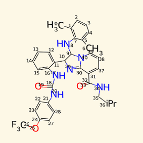 Cc1cccc(C)c1NC1C(c2ccccc2NC(=O)Nc2ccc(OC(F)(F)F)cc2)N=C2C(C(=O)NCC(C)C)=CC=CN21